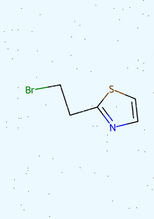 BrCCc1nccs1